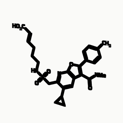 CNC(=O)c1c(-c2ccc(C)cc2)oc2nc(CS(=O)(=O)NCCC/C=C/C(=O)O)c(C3CC3)cc12